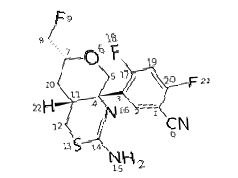 N#Cc1cc([C@]23CO[C@@H](CF)C[C@H]2CSC(N)=N3)c(F)cc1F